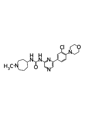 CN1CCCC(NC(=O)Nc2cncc(-c3ccc(N4CCOCC4)c(Cl)c3)n2)CC1